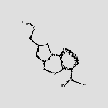 COCC1CC2COc3c(B(O)O)ccnc3N2C1